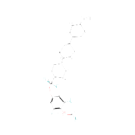 CCCC1CCC(C2CCC(C3CCC(C(F)(F)Oc4cc(F)c(OCF)c(F)c4)CC3)CC2)CC1